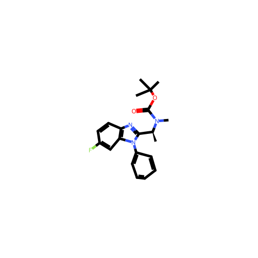 C[C@@H](c1nc2ccc(F)cc2n1-c1ccccc1)N(C)C(=O)OC(C)(C)C